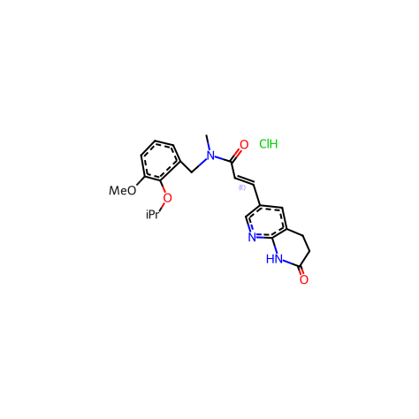 COc1cccc(CN(C)C(=O)/C=C/c2cnc3c(c2)CCC(=O)N3)c1OC(C)C.Cl